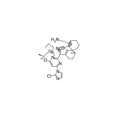 C[C@H](Oc1cc(-n2ccnc2Cl)nc(-c2noc3c2CCC[C@@]32CCCc3sc(N)c(C#N)c32)n1)[C@@H]1CCCN1C